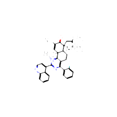 C=C(C)C[C@@]1(C)C(=O)C(C#N)=C[C@@]2(C)c3nc(-c4ccnc5ccccc45)nc(-c4ccccc4F)c3CC[C@H]12